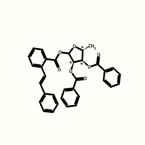 C[C@H]1OC(OC(=O)c2ccccc2C=Cc2ccccc2)[C@H](OC(=O)c2ccccc2)[C@@H]1OC(=O)c1ccccc1